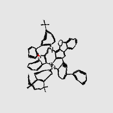 CC(C)(C)c1ccc(N2c3sc4ccccc4c3B3c4c(cc5c(oc6ccccc65)c42)-c2cc(-c4ccccc4)ccc2N3c2ccc3c(c2)C(C)(C)CCC3(C)C)c(-c2ccccc2)c1